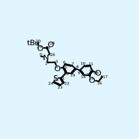 CN(CCOc1ccc(-c2ccc3c(c2)OCCO3)cc1-c1cccs1)CC(=O)OC(C)(C)C